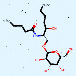 CCCCCCCCCCCCCC(=O)N[C@@H](CO[C@H]1O[C@H](CO)[C@H](O)[C@H](O)[C@H]1O)[C@H](O)CCCCCCCCCCCCC